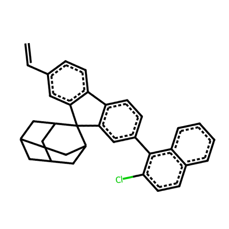 C=Cc1ccc2c(c1)C1(c3cc(-c4c(Cl)ccc5ccccc45)ccc3-2)C2CC3CC(C2)CC1C3